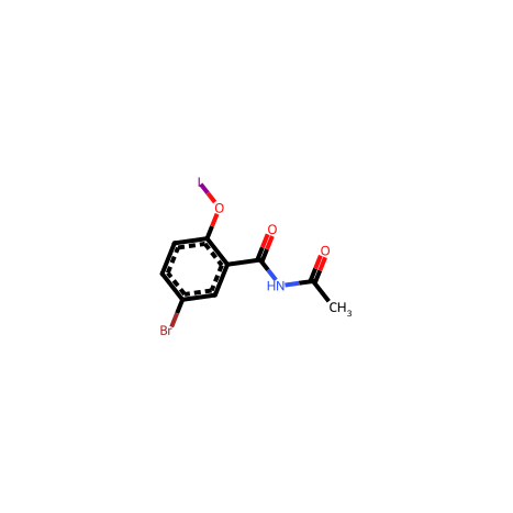 CC(=O)NC(=O)c1cc(Br)ccc1OI